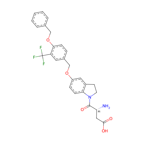 N[C@H](CC(=O)O)C(=O)N1CCc2cc(OCc3ccc(OCc4ccccc4)c(C(F)(F)F)c3)ccc21